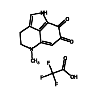 CN1CCc2c[nH]c3c2C1=CC(=O)C3=O.O=C(O)C(F)(F)F